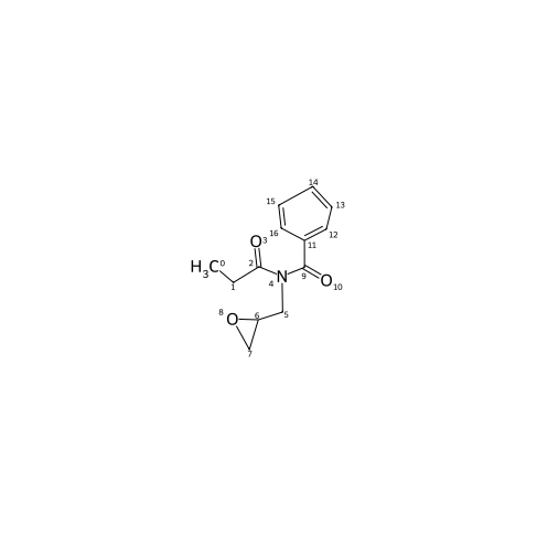 CCC(=O)N(CC1CO1)C(=O)c1ccccc1